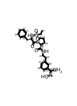 CCS(=O)(=O)N[C@H](Cc1ccccc1)C(=O)N1CCC[C@H]1C(=O)NCCc1cccc(/C(N)=N\O)c1